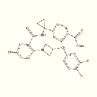 COC(=O)c1ccc(C2(NC(=O)c3cc(Cl)cnc3N3CC(Oc4ccc(F)c(F)c4)C3)CC2)cc1